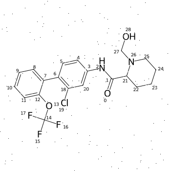 O=C(Nc1ccc(-c2ccccc2OC(F)(F)F)c(Cl)c1)C1CCCCN1CO